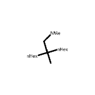 CCCCCCC(C)(CCCCCC)CNC